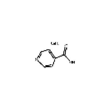 O=C(O)c1ccncc1.[CaH2]